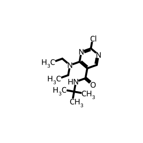 CCN(CC)c1nc(Cl)ncc1C(=O)NC(C)(C)C